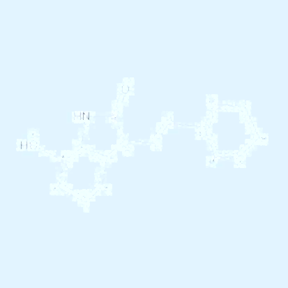 O=C1Nc2c(O)cccc2C1C=Cc1ccccc1